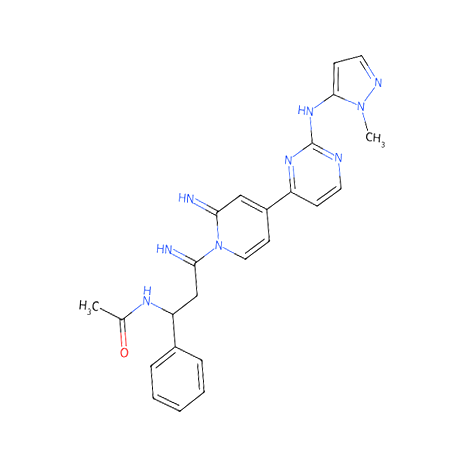 CC(=O)NC(CC(=N)n1ccc(-c2ccnc(Nc3ccnn3C)n2)cc1=N)c1ccccc1